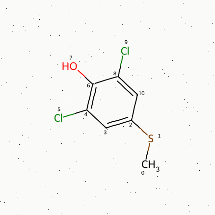 CSc1cc(Cl)c(O)c(Cl)c1